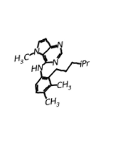 Cc1ccc(Nc2ncnc3ccn(C)c23)c(CCCC(C)C)c1C